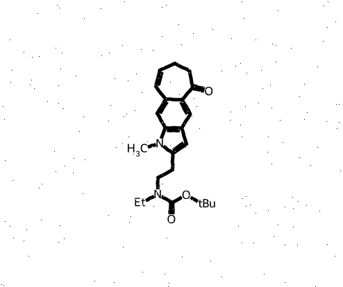 CCN(CCc1cc2cc3c(cc2n1C)C=CCCC3=O)C(=O)OC(C)(C)C